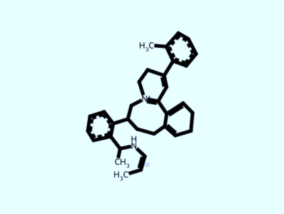 C/C=C\NC(C)c1ccccc1C1CCC2=CCCC=C2C2=[N+](CCC(c3ccccc3C)=C2)C1